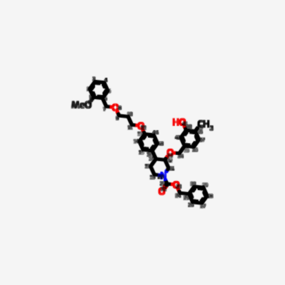 COc1ccccc1COCCCOc1ccc(C2CCN(C(=O)OCc3ccccc3)CC2OCc2ccc(C)c(O)c2)cc1